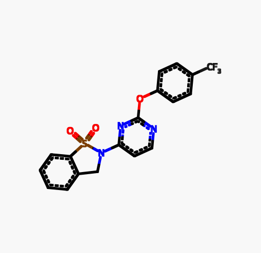 O=S1(=O)c2ccccc2CN1c1ccnc(Oc2ccc(C(F)(F)F)cc2)n1